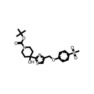 CC(C)(C)OC(=O)N1CCC(O)(c2nc(COc3ccc(S(C)(=O)=O)cc3)cs2)CC1